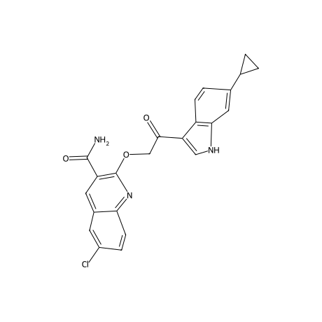 NC(=O)c1cc2cc(Cl)ccc2nc1OCC(=O)c1c[nH]c2cc(C3CC3)ccc12